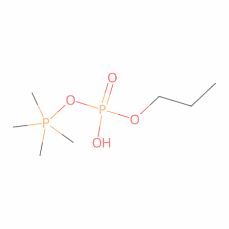 CCCOP(=O)(O)OP(C)(C)(C)C